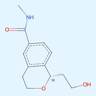 CNC(=O)c1ccc2c(c1)CCO[C@H]2CCO